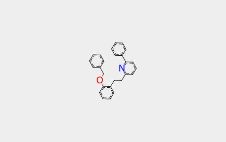 c1ccc(COc2ccccc2CCc2cccc(-c3ccccc3)n2)cc1